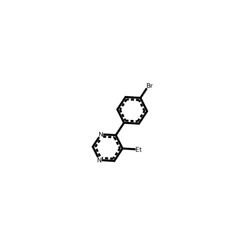 CCc1cncnc1-c1ccc(Br)cc1